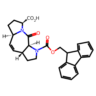 O=C(O)[C@@H]1CC[C@@H]2C=C[C@H]3CCN(C(=O)OCC4c5ccccc5-c5ccccc54)[C@@H]3C(=O)N21